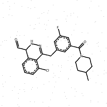 CC1CCN(C(=O)c2cc(F)cc(CC3=NNC(C=O)c4cccc(Cl)c43)c2)CC1